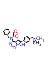 CN(C)Cc1ccc(-c2cc3c(N(Cc4ccccc4)C4=COCO4)ncnc3[nH]2)cc1